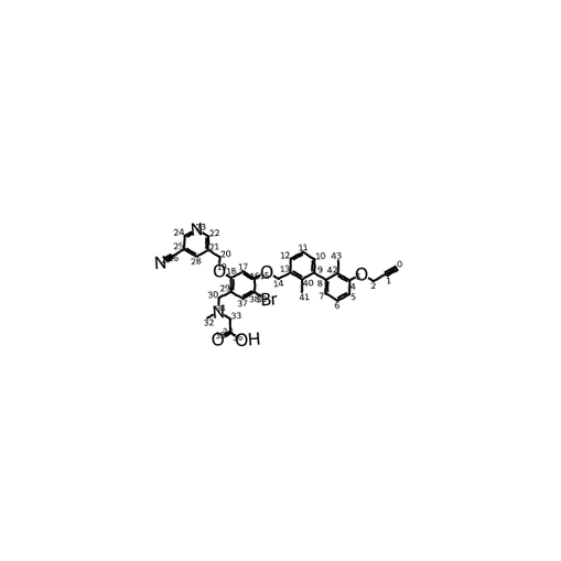 C#CCOc1cccc(-c2cccc(COc3cc(OCc4cncc(C#N)c4)c(CN(C)CC(=O)O)cc3Br)c2C)c1C